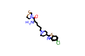 N[C@@H](CCCCN1CCC(c2nc3cc(Cl)ccc3s2)CC1)C(=O)N1CCSC1